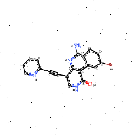 Nc1nc2c(C#Cc3ccccn3)c[nH]c(=O)c2c2cc(Br)ccc12